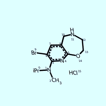 CC(C)N(C)c1nc2c(cc1Br)CNCCO2.Cl